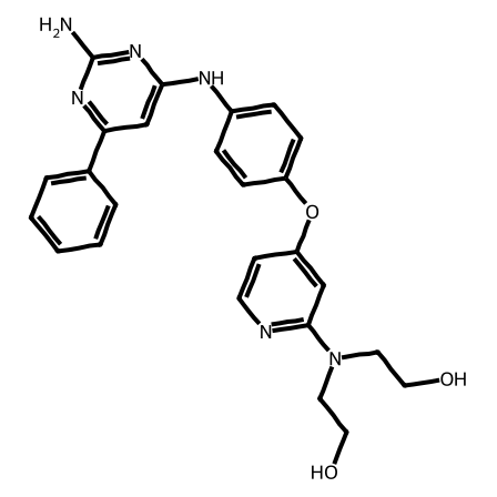 Nc1nc(Nc2ccc(Oc3ccnc(N(CCO)CCO)c3)cc2)cc(-c2ccccc2)n1